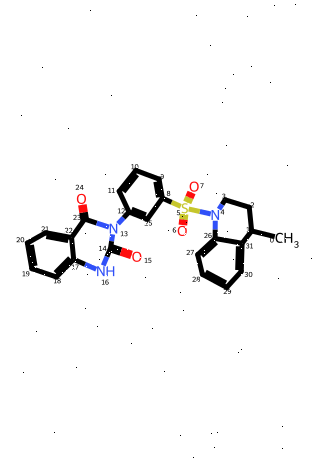 CC1CCN(S(=O)(=O)c2cccc(-n3c(=O)[nH]c4ccccc4c3=O)c2)c2ccccc21